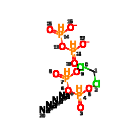 ClCCl.O=[PH]([O-])O[PH](=O)[O-].O=[PH]([O-])O[PH](=O)[O-].[Na+].[Na+].[Na+].[Na+]